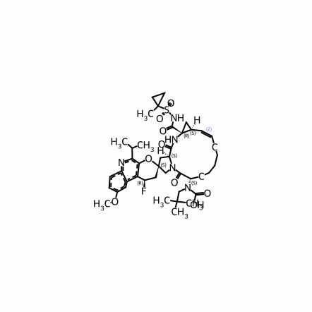 COc1ccc2nc(C(C)C)c3c(c2c1)[C@H](F)C[C@]1(C[C@H]2C(=O)N[C@]4(C(=O)NS(=O)(=O)C5(C)CC5)C[C@H]4/C=C\CCCCC[C@H](N(CC(C)(C)C)C(=O)O)C(=O)N2C1)O3